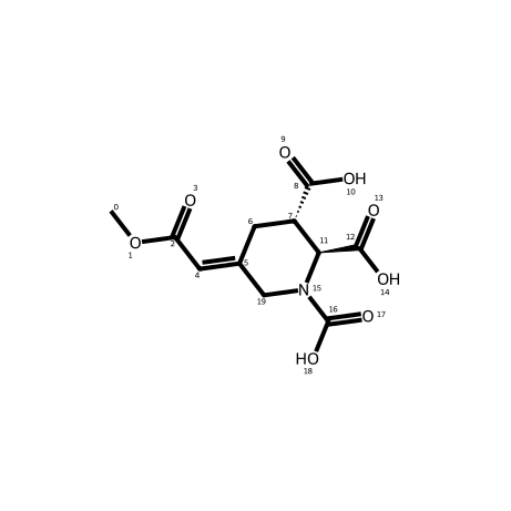 COC(=O)/C=C1\C[C@H](C(=O)O)[C@@H](C(=O)O)N(C(=O)O)C1